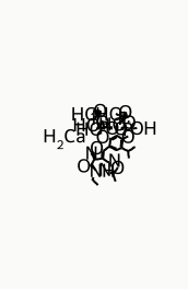 CCNC(=O)c1noc(-c2cc(C(C)C)c(OP(=O)(O)OP(=O)(O)O)cc2OP(=O)(O)OP(=O)(O)O)c1-c1noc(C)n1.[CaH2]